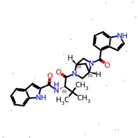 CC(C)(C)[C@H](NC(=O)c1cc2ccccc2[nH]1)C(=O)N1C[C@@H]2C[C@H]1CN2C(=O)c1cccc2[nH]ccc12